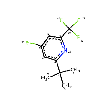 CC(C)(C)c1cc(F)cc(C(F)(F)F)n1